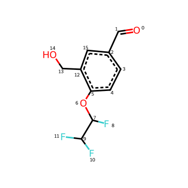 O=Cc1ccc(OC(F)C(F)F)c(CO)c1